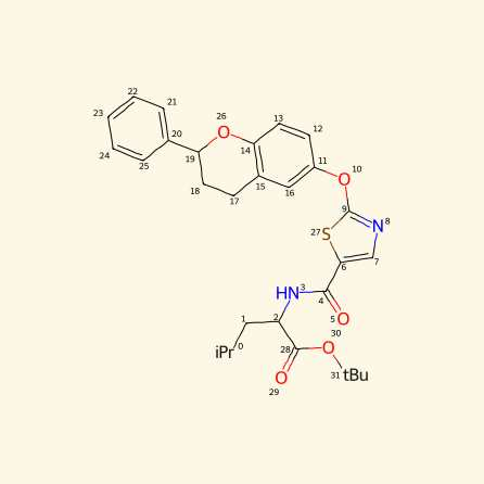 CC(C)CC(NC(=O)c1cnc(Oc2ccc3c(c2)CCC(c2ccccc2)O3)s1)C(=O)OC(C)(C)C